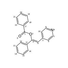 O=C(OC(=Cc1ccncc1)c1ccccc1)c1ccccc1